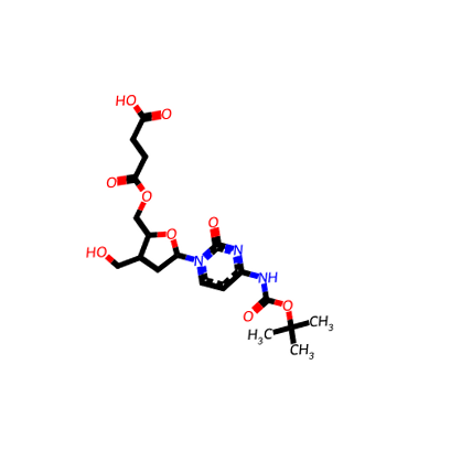 CC(C)(C)OC(=O)Nc1ccn(C2CC(CO)C(COC(=O)CCC(=O)O)O2)c(=O)n1